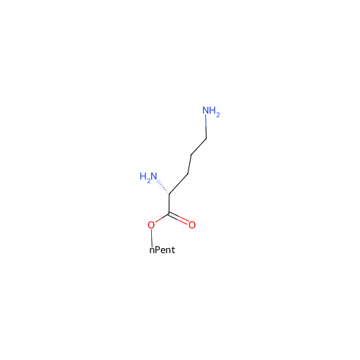 CCCCCOC(=O)[C@H](N)CCCN